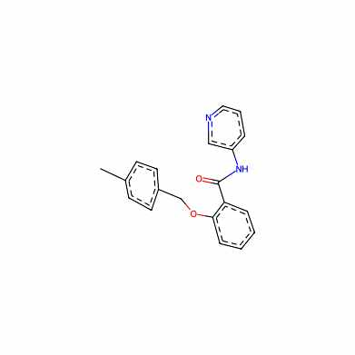 Cc1ccc(COc2ccccc2C(=O)Nc2cccnc2)cc1